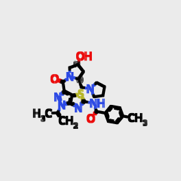 C=C(C)n1nc(C(=O)N2C[C@@H](O)C[C@H]2CN2CCCC2)c2sc(NC(=O)c3ccc(C)cc3)nc21